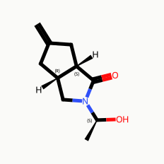 C=C1C[C@H]2CN([C@H](C)O)C(=O)[C@H]2C1